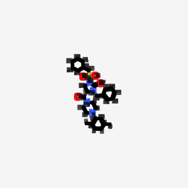 Cc1ccc(C)c(N2CCN(C(=O)[C@@H]3CN(S(=O)(=O)CC4CCCCC4)C(=O)N3Cc3ccccc3)CC2)c1